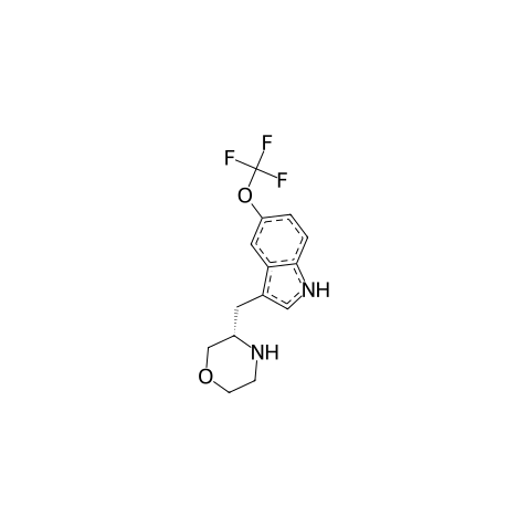 FC(F)(F)Oc1ccc2[nH]cc(C[C@H]3COCCN3)c2c1